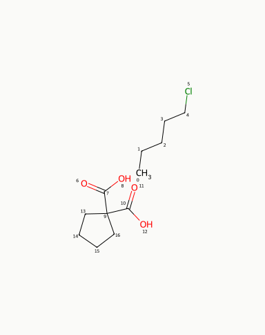 CCCCCCl.O=C(O)C1(C(=O)O)CCCC1